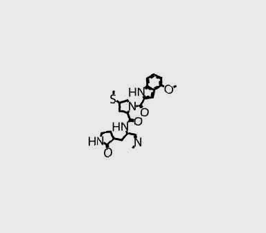 C/N=C\C(CC1CCNC1=O)NC(=O)C1CC(SC)CN1C(=O)c1cc2c(OC)cccc2[nH]1